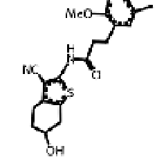 COc1ccc(C)cc1CCC(=O)Nc1sc2c(c1C#N)CCC(O)C2